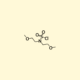 COCCN(CCOC)S(=O)(=O)Cl